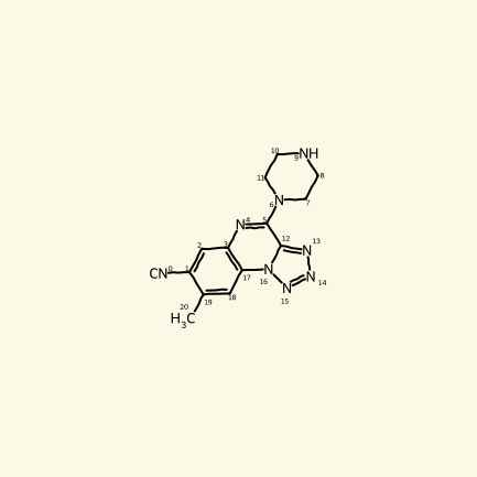 [C-]#[N+]c1cc2nc(N3CCNCC3)c3nnnn3c2cc1C